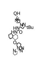 CN1CCC[C@H]1c1nnc2ccc(OC3CCC(NC(=O)Nc4cc(C(C)(C)C)nn4-c4cnn(CCO)c4)c4ccccc43)cn12